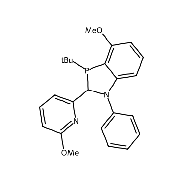 COc1cccc(C2N(c3ccccc3)c3cccc(OC)c3P2C(C)(C)C)n1